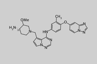 COC1CN(Cc2ccn3ncnc(Nc4ccc(Oc5ccn6ncnc6c5)c(C)c4)c23)CC[C@@H]1N